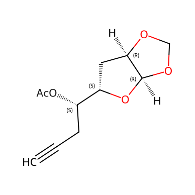 C#CC[C@H](OC(C)=O)[C@@H]1C[C@H]2OCO[C@H]2O1